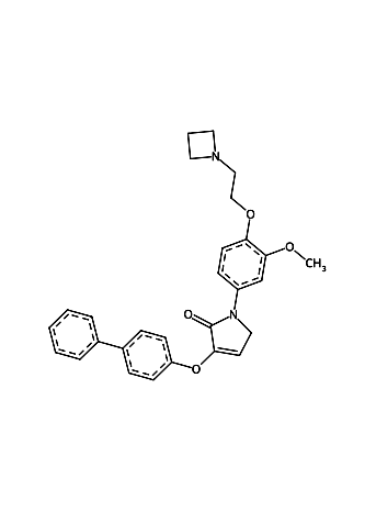 COc1cc(N2CC=C(Oc3ccc(-c4ccccc4)cc3)C2=O)ccc1OCCN1CCC1